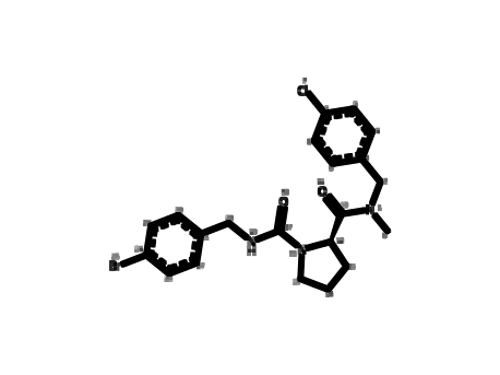 CN(Cc1ccc(Cl)cc1)C(=O)[C@H]1CCCN1C(=O)NCc1ccc(Br)cc1